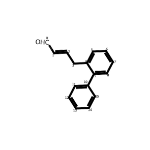 O=CC=CCc1ccccc1-c1ccccc1